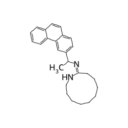 CC(/N=C1/CCCCCCCCCN1)c1ccc2ccc3ccccc3c2c1